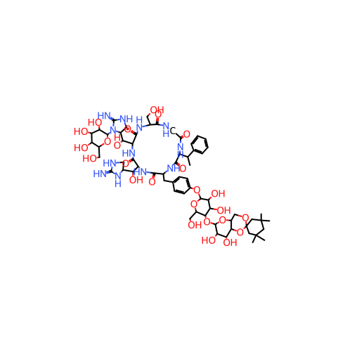 CC(c1ccccc1)C1NC(=O)CNC(=O)C(CO)NC(=O)C(C(O)C2CNC(=N)N2C2OC(CO)C(O)C(O)C2O)NC(=O)C(C(O)C2CNC(=N)N2)NC(=O)C(Cc2ccc(OC3OC(CO)C(OC4OC5COC6(CC(C)(C)CC(C)(C)C6)OC5C(O)C4O)C(O)C3O)cc2)NC1=O